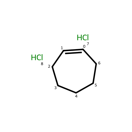 C1=CCCCCC1.Cl.Cl